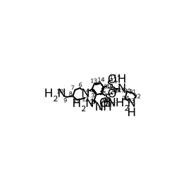 N=C(N)c1c(N2CCC(CN)CC2)ccc([S+]([O-])CN[C@@H]2CCNC2)c1S(N)(=O)=O